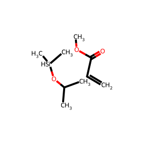 C=CC(=O)OC.CC(C)O[SiH](C)C